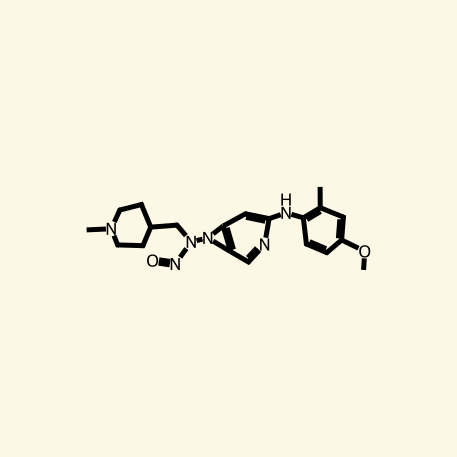 COc1ccc(Nc2cc3c(cn2)N3N(CC2CCN(C)CC2)N=O)c(C)c1